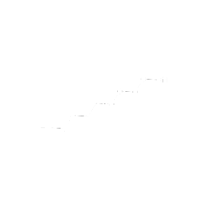 OOOCCOOOOO